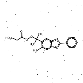 CC(C)(OOC(=O)CC(=O)O)c1cc2oc(-c3ccccc3)nc2cc1N